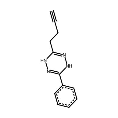 C#CCCC1=NNC(c2ccccc2)=NN1